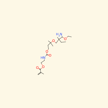 C=C(C)C(=O)OCCNC(=O)OCCC(C)(C)OCC(C)(CC)C(N)OCC